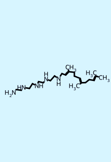 CC(C)=CCCC(C)=CCCC(C)=CCNCCNCCNCCNCCN